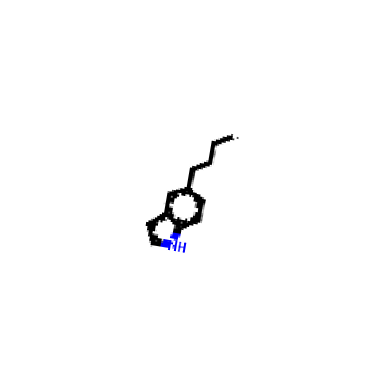 [CH2]CCCc1ccc2[nH]ccc2c1